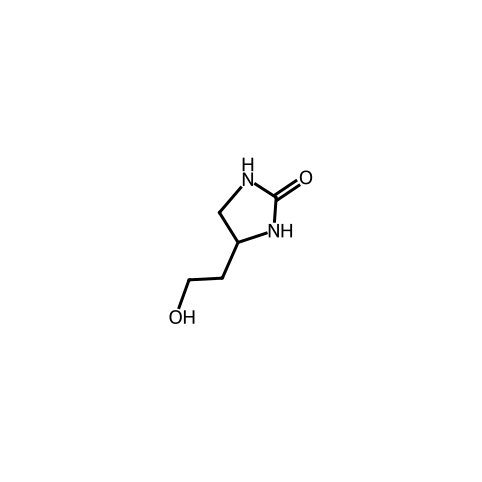 O=C1NCC(CCO)N1